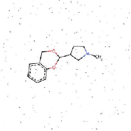 CN1CCC(C2OCc3ccccc3O2)C1